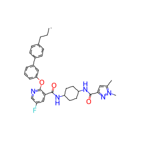 [CH2]CCc1ccc(-c2cccc(Oc3ncc(F)cc3C(=O)NC3CCC(NC(=O)c4cc(C)n(C)n4)CC3)c2)cc1